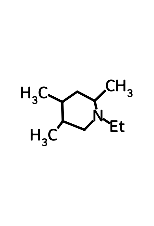 CCN1CC(C)C(C)CC1C